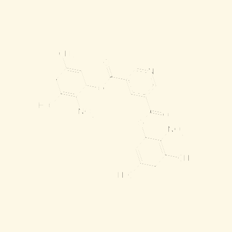 CC1=CC(OC(=O)c2cncc(C(=O)OC3C=C(C)CC(C)=C3[N+](=O)[O-])c2)C([N+](=O)[O-])=C(C)C1